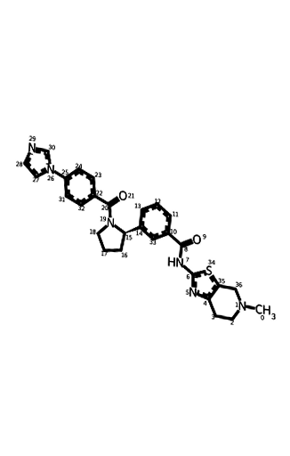 CN1CCc2nc(NC(=O)c3cccc([C@H]4CCCN4C(=O)c4ccc(-n5ccnc5)cc4)c3)sc2C1